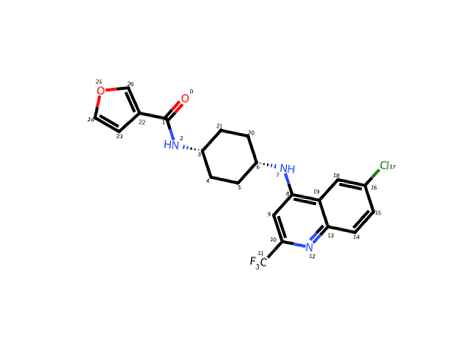 O=C(N[C@H]1CC[C@@H](Nc2cc(C(F)(F)F)nc3ccc(Cl)cc23)CC1)c1ccoc1